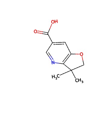 CC1(C)COc2cc(C(=O)O)cnc21